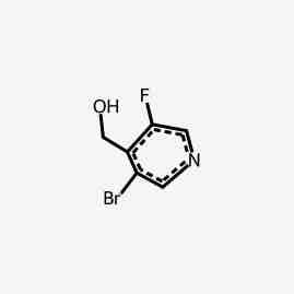 OCc1c(F)cncc1Br